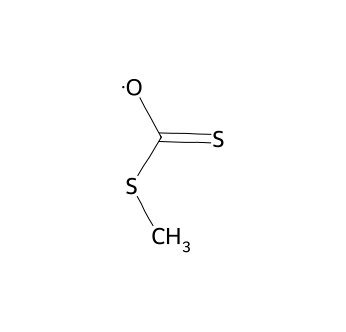 CSC([O])=S